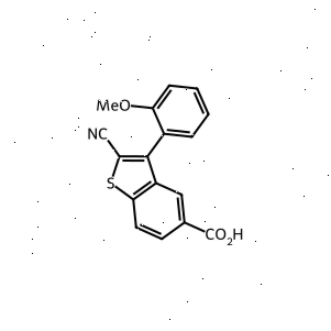 COc1ccccc1-c1c(C#N)sc2ccc(C(=O)O)cc12